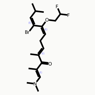 C/C(=C\C/C=C(OCC(F)F)\C(Br)=C/C(C)C)C(=O)/C(C)=C/N(C)C